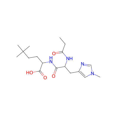 CCC(=O)NC(Cc1cn(C)cn1)C(=O)NC(CCC(C)(C)C)C(=O)O